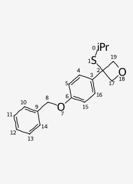 CC(C)SC1(c2ccc(OCc3ccccc3)cc2)COC1